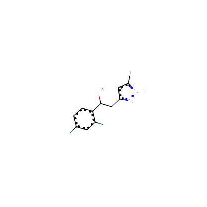 CC(C)c1cc(CC(OC=O)c2ccc(Cl)cc2Cl)n[nH]1